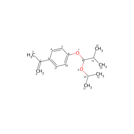 C=C(C)c1ccc(OC(OC(C)C)C(C)C)cc1